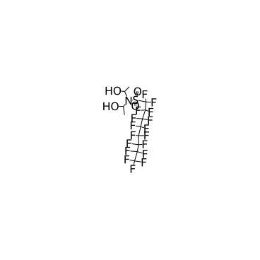 CC(O)N(C(C)O)S(=O)(=O)C(F)(F)C(F)(F)C(F)(F)C(F)(F)C(F)(F)C(F)(F)C(F)(F)C(F)(F)F